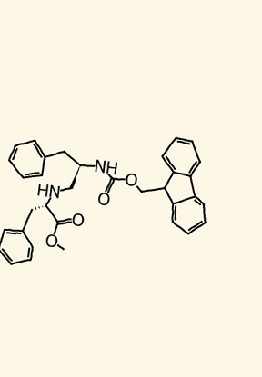 COC(=O)[C@H](Cc1ccccc1)NC[C@@H](Cc1ccccc1)NC(=O)OCC1c2ccccc2-c2ccccc21